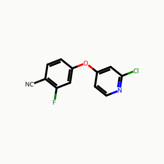 N#Cc1ccc(Oc2ccnc(Cl)c2)cc1F